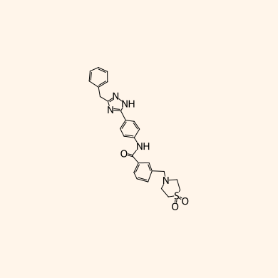 O=C(Nc1ccc(-c2nc(Cc3ccccc3)n[nH]2)cc1)c1cccc(CN2CCS(=O)(=O)CC2)c1